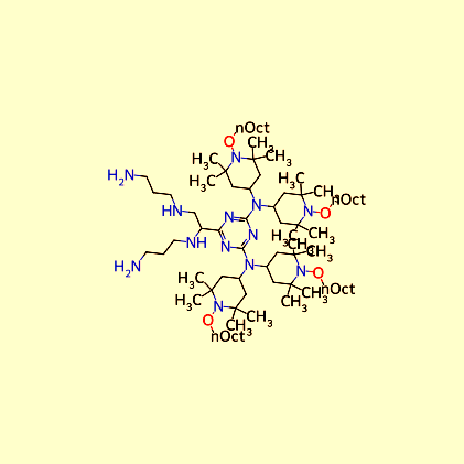 CCCCCCCCON1C(C)(C)CC(N(c2nc(C(CNCCCN)NCCCN)nc(N(C3CC(C)(C)N(OCCCCCCCC)C(C)(C)C3)C3CC(C)(C)N(OCCCCCCCC)C(C)(C)C3)n2)C2CC(C)(C)N(OCCCCCCCC)C(C)(C)C2)CC1(C)C